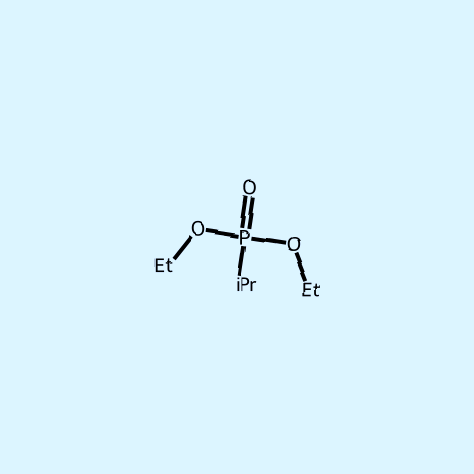 CCOP(=O)(OCC)C(C)C